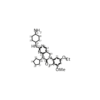 CCOc1cc(OC)c(F)c(N2Cc3cnc(NC4CCC(N)CC4)nc3N(C3CCCC3)C2=O)c1